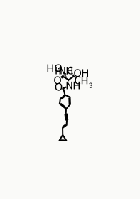 CC(C)(O)[C@H](NC(=O)c1ccc(C#C/C=C/C2CC2)cc1)C(=O)NO